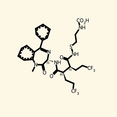 CN1C(=O)[C@@H](NC(=O)[C@H](CCC(F)(F)F)[C@H](CCC(F)(F)F)C(=O)NSCCNC(=O)O)N=C(c2ccccc2)c2ccccc21